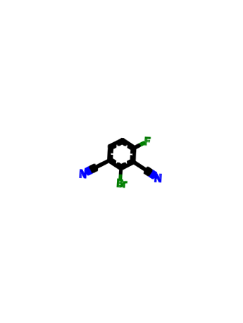 N#Cc1ccc(F)c(C#N)c1Br